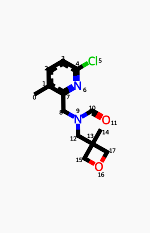 Cc1ccc(Cl)nc1CN(C=O)CC1(C)COC1